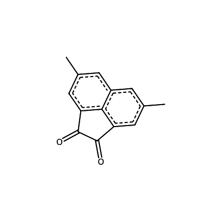 Cc1cc2c3c(cc(C)cc3c1)C(=O)C2=O